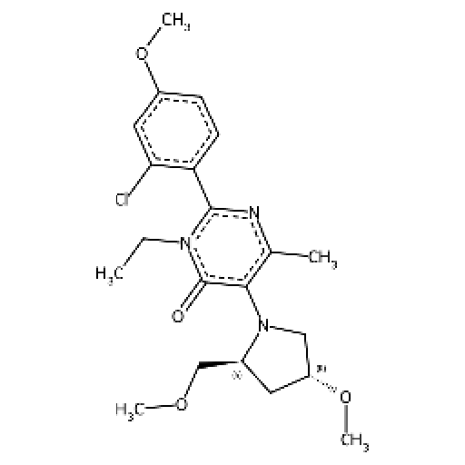 CCn1c(-c2ccc(OC)cc2Cl)nc(C)c(N2C[C@H](OC)C[C@H]2COC)c1=O